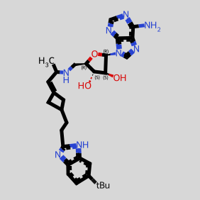 CC(C=C1CC(CCc2nc3ccc(C(C)(C)C)cc3[nH]2)C1)NC[C@H]1O[C@@H](n2cnc3c(N)ncnc32)[C@@H](O)[C@@H]1O